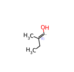 CC/C(C)=[C]/O